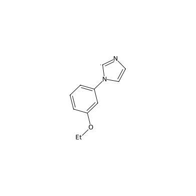 CCOc1cccc(-n2[c]ncc2)c1